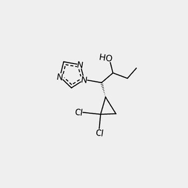 CCC(O)C([C@@H]1CC1(Cl)Cl)n1cncn1